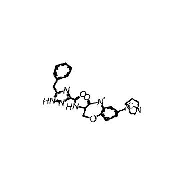 CN1C(=O)C(NC(=O)c2n[nH]c(Cc3ccccc3)n2)COc2ccc(N3CCN4CCC3CC4)cc21